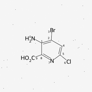 Nc1c(Br)cc(Cl)nc1C(=O)O